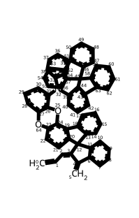 C=C/C=C1\C(=C)c2ccccc2C12c1ccccc1-c1c2ccc2c1Oc1c(cccc1N(c1ccccc1)c1cccc3c1C1(c4ccccc4-c4ccccc41)c1ccccc1-3)O2